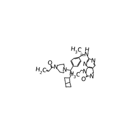 C=CC(=O)N1CCN(C(CC2CC3CCC32)c2ccc([C@H](C)Nc3ncc4cnc(=O)n(CC)c4n3)cc2)CC1